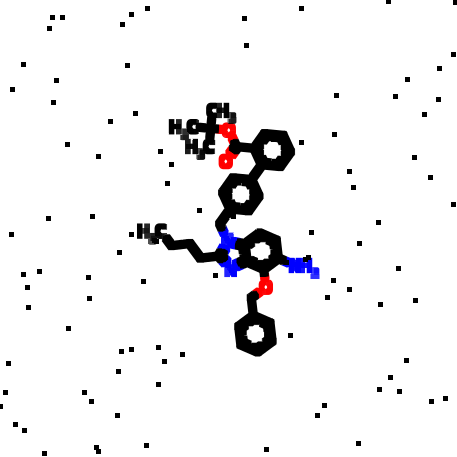 CCCCc1nc2c(OCc3ccccc3)c(N)ccc2n1Cc1ccc(-c2ccccc2C(=O)OC(C)(C)C)cc1